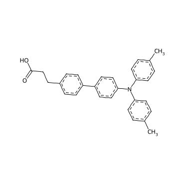 Cc1ccc(N(c2ccc(C)cc2)c2ccc(-c3ccc(CCC(=O)O)cc3)cc2)cc1